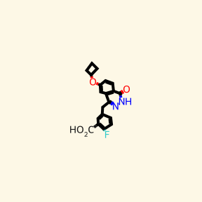 O=C(O)c1cc(Cc2n[nH]c(=O)c3ccc(OC4CCC4)cc23)ccc1F